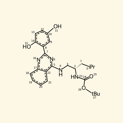 CC(C)C[C@@H](CNc1nc(-c2cc(O)ccc2O)nc2ccccc12)NC(=O)OC(C)(C)C